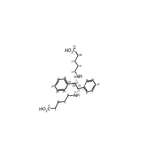 O=C(O)CCCCN[C@@H](c1ccccc1)[C@@H](NCCCCC(=O)O)c1ccccc1